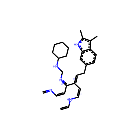 C=CN\C=C/C(=C\Cc1ccc2c(C)c(C)[nH]c2c1)C(/C=C\N=C)=N\CNC1CCCCC1